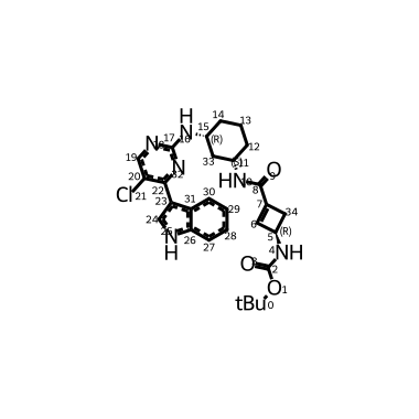 CC(C)(C)OC(=O)N[C@H]1C=C(C(=O)N[C@H]2CCC[C@@H](Nc3ncc(Cl)c(-c4c[nH]c5ccccc45)n3)C2)C1